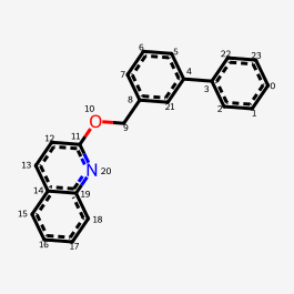 c1ccc(-c2cccc(COc3ccc4ccccc4n3)c2)cc1